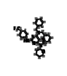 FC(F)(F)c1ccc(Nc2nc(N(Cc3ccccc3)Cc3ccccc3)c3ncn(C4CCCCO4)c3n2)cc1